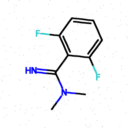 CN(C)C(=N)c1c(F)cccc1F